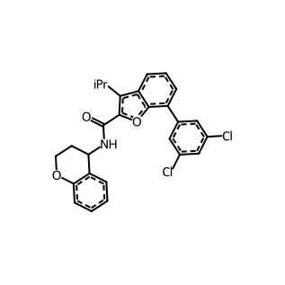 CC(C)c1c(C(=O)NC2CCOc3ccccc32)oc2c(-c3cc(Cl)cc(Cl)c3)cccc12